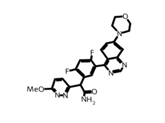 COc1ccc(C(C(N)=O)c2cc(-c3ncnc4cc(N5CCOCC5)ccc34)c(F)cc2F)nn1